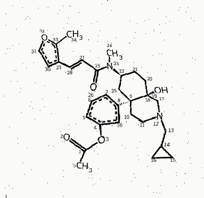 CC(=O)Oc1cccc([C@@]23CCN(CC4CC4)C[C@@]2(O)CC[C@H](N(C)C(=O)/C=C/c2ccoc2C)C3)c1